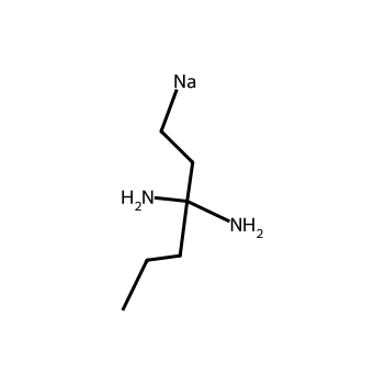 CCCC(N)(N)C[CH2][Na]